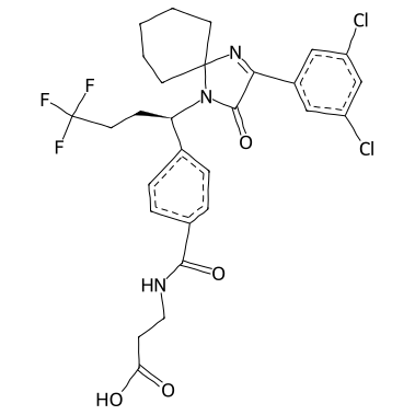 O=C(O)CCNC(=O)c1ccc([C@@H](CCC(F)(F)F)N2C(=O)C(c3cc(Cl)cc(Cl)c3)=NC23CCCCC3)cc1